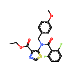 CCOC(=O)c1ncsc1N(Cc1ccc(OC)cc1)C(=O)c1c(F)cccc1F